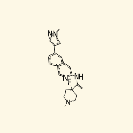 C=C(Nc1cc2cc(-c3cnn(C)c3)ccc2cn1)C1(F)CCN(C)CC1